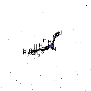 CC(C)(C)OC(=O)NCCCNC(=O)OC[n+]1ccc(N/C(=N\CCCCCCOc2ccc(Cl)cc2)NC#N)cc1.[I-]